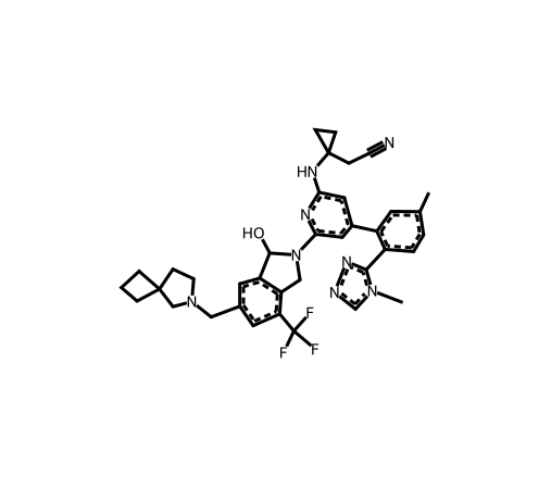 Cc1ccc(-c2nncn2C)c(-c2cc(NC3(CC#N)CC3)nc(N3Cc4c(cc(CN5CCC6(CCC6)C5)cc4C(F)(F)F)C3O)c2)c1